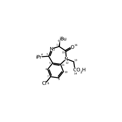 CC[C@H](C)C1N=C(C(C)C)c2cc(Cl)ccc2N(CC(=O)O)C1=O